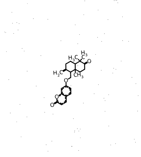 C=C1CCC2C(C)(C)C(=O)CCC2(C)C1COc1ccc2ccc(=O)oc2c1